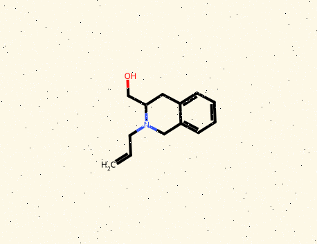 C=CCN1Cc2ccccc2CC1CO